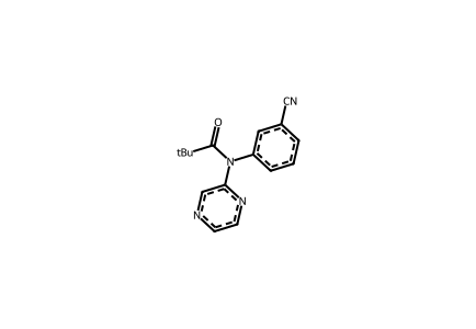 CC(C)(C)C(=O)N(c1cccc(C#N)c1)c1cnccn1